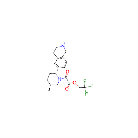 C[C@H]1CC[C@H](c2ccc3c(c2)CCN(C)C3)N(C(=O)C(=O)OCC(F)(F)F)C1